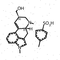 CN1C[C@H](CO)C=C2c3cccc4c3c(cn4C)C[C@H]21.Cc1ccc(S(=O)(=O)O)cc1